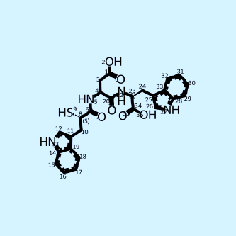 O=C(O)CC(NC(=O)[C@@H](S)Cc1c[nH]c2ccccc12)C(=O)N[C@@H](Cc1c[nH]c2ccccc12)C(=O)O